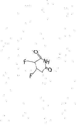 O=C1CC(F)C(F)C(=O)N1